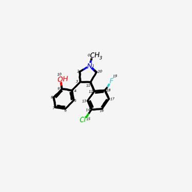 CN1CC(c2ccccc2O)C(c2cc(Cl)ccc2F)C1